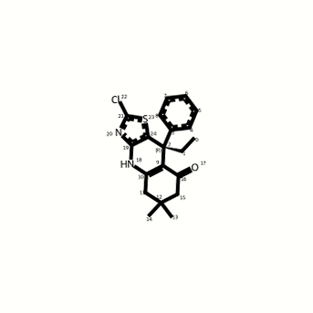 CC[C@@]1(c2ccccc2)C2=C(CC(C)(C)CC2=O)Nc2nc(Cl)sc21